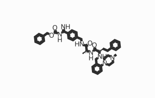 C[C@H](NC(=O)[C@@H](CCc1ccccc1)NCc1ccccc1N1CCN(C)CC1)C(=O)NCc1ccc(C(=N)NC(=O)OCc2ccccc2)cc1